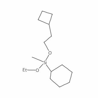 CCO[Si](C)(OCCC1CCC1)C1CCCCC1